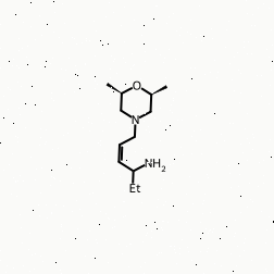 CCC(N)/C=C\CN1C[C@@H](C)O[C@@H](C)C1